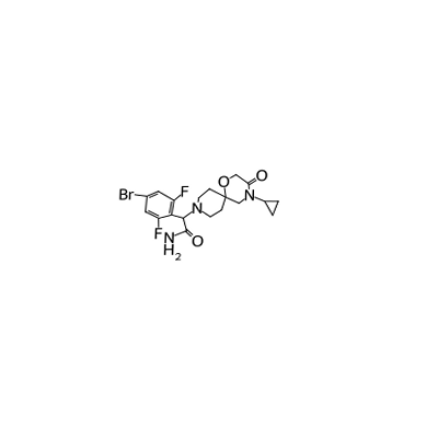 NC(=O)C(c1c(F)cc(Br)cc1F)N1CCC2(CC1)CN(C1CC1)C(=O)CO2